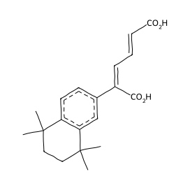 CC1(C)CCC(C)(C)c2cc(C(=CC=CC(=O)O)C(=O)O)ccc21